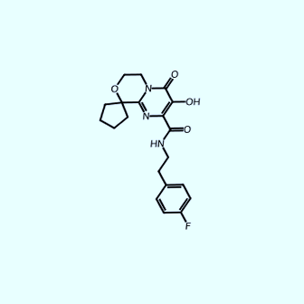 O=C(NCCc1ccc(F)cc1)c1nc2n(c(=O)c1O)CCOC21CCCC1